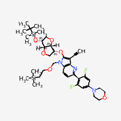 C#Cc1c(O[C@@H]2CO[C@H]3[C@@H]2OC[C@H]3O[Si](C)(C)C(C)(C)C)n(COCC[Si](C)(C)C)c2ccc(-c3c(F)cc(N4CCOCC4)cc3F)nc12